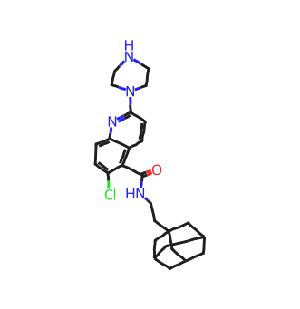 O=C(NCCC12CC3CC(CC(C3)C1)C2)c1c(Cl)ccc2nc(N3CCNCC3)ccc12